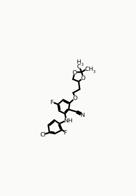 CC1(C)OCC(CCOc2cc(F)cc(Nc3ccc(Cl)cc3F)c2C#N)O1